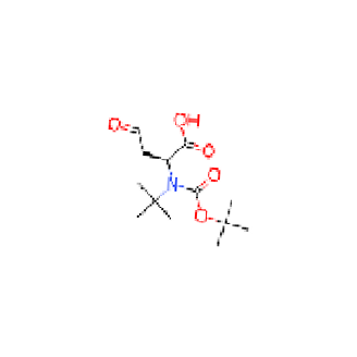 CC(C)(C)OC(=O)N([C@@H](CC=O)C(=O)O)C(C)(C)C